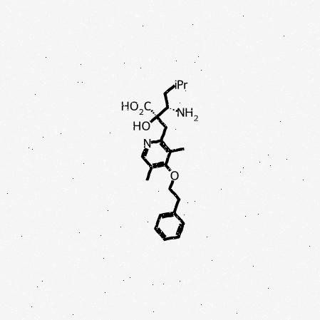 Cc1cnc(C[C@](O)(C(=O)O)[C@@H](N)CC(C)C)c(C)c1OCCc1ccccc1